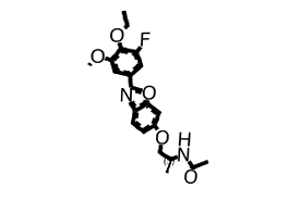 CCOc1c(F)cc(-c2nc3ccc(OC[C@H](C)NC(C)=O)cc3o2)cc1OC